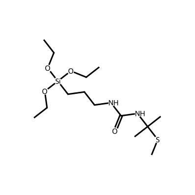 CCO[Si](CCCNC(=O)NC(C)(C)SC)(OCC)OCC